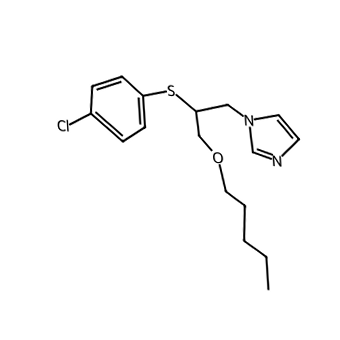 CCCCCOCC(Cn1ccnc1)Sc1ccc(Cl)cc1